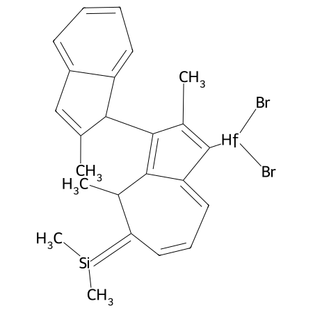 CC1=Cc2ccccc2C1C1=C2C(=CC=CC(=[Si](C)C)C2C)[C]([Hf]([Br])[Br])=C1C